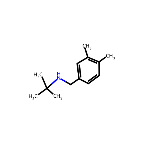 Cc1ccc(CNC(C)(C)C)cc1C